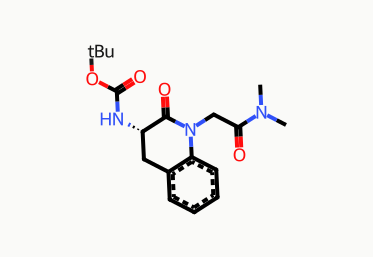 CN(C)C(=O)CN1C(=O)[C@@H](NC(=O)OC(C)(C)C)Cc2ccccc21